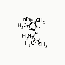 C=CC(C)C(N)Cc1cc(C)c(CCC)c(C)c1